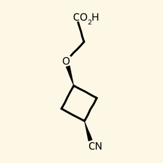 N#C[C@H]1C[C@@H](OCC(=O)O)C1